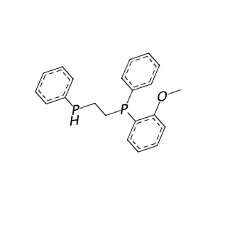 COc1ccccc1P(CCPc1ccccc1)c1ccccc1